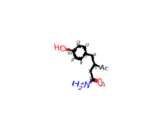 CC(=O)C(CC(N)=O)Cc1ccc(O)cc1